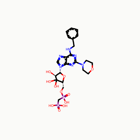 O=P(O)(O)CP(=O)(O)OC[C@H]1O[C@@H](n2cnc3c(NCc4ccccc4)nc(N4CCOCC4)nc32)[C@H](O)C1(O)O